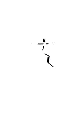 COP(=O)(OC)O/C=C/Br